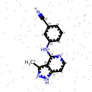 Cc1n[nH]c2ccnc(Nc3cccc(C#N)c3)c12